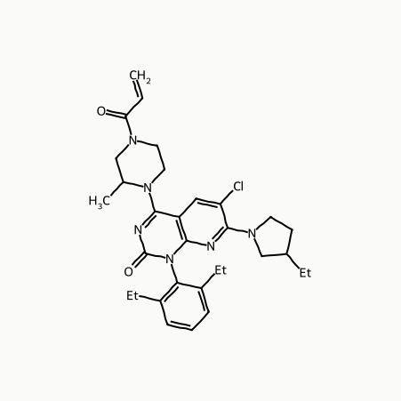 C=CC(=O)N1CCN(c2nc(=O)n(-c3c(CC)cccc3CC)c3nc(N4CCC(CC)C4)c(Cl)cc23)C(C)C1